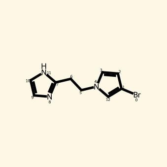 Brc1ccn(CCc2ncc[nH]2)c1